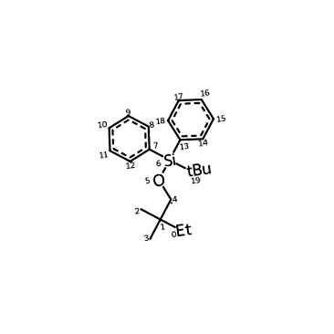 CCC(C)(C)[CH]O[Si](c1ccccc1)(c1ccccc1)C(C)(C)C